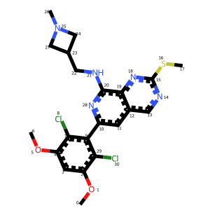 COc1cc(OC)c(Cl)c(-c2cc3cnc(SC)nc3c(NCC3CN(C)C3)n2)c1Cl